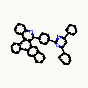 c1ccc(-c2cc(-c3ccccc3)nc(-c3ccc(-c4nc5ccccc5c5c6ccccc6c6cc7ccccc7cc6c45)cc3)n2)cc1